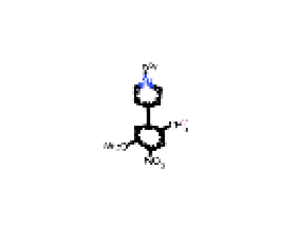 CCC[n+]1ccc(-c2cc(OC)c([N+](=O)[O-])cc2C)cc1.[I-]